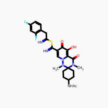 CC(=O)NC1CCC2(CC1)N(C)C(=O)c1c(O)c(=O)c(C(=N)SC(=N)Cc3ccc(F)cc3F)cn1N2C